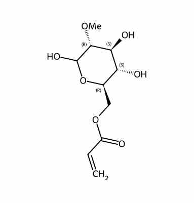 C=CC(=O)OC[C@H]1OC(O)[C@H](OC)[C@@H](O)[C@@H]1O